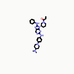 C=CC(=O)N1CCC[C@H](n2c(Nc3ccccc3)nc3cnc(Nc4ccc(N5CCC(N(C)C)CC5)cc4)nc32)C1